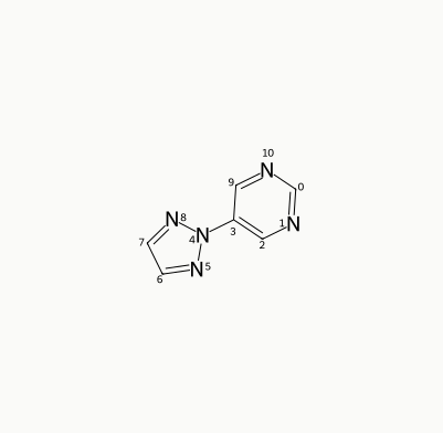 c1ncc(-n2nccn2)cn1